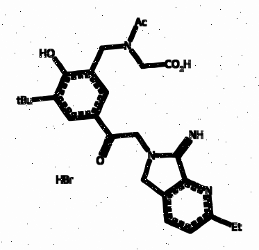 Br.CCc1ccc2c(n1)C(=N)N(CC(=O)c1cc(CN(CC(=O)O)C(C)=O)c(O)c(C(C)(C)C)c1)C2